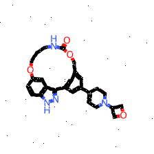 O=C1NCCCOc2ccc3[nH]nc(c3c2)-c2cc(cc(C3=CCN(C4COC4)CC3)c2)CO1